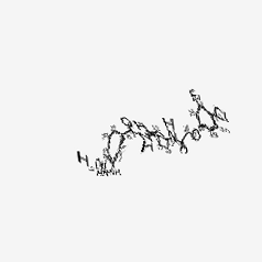 CN1NNc2cc(C(=O)N[C@@H]3CC4(NC(=O)COc5ccc(Cl)c(F)c5)CC3C4)ccc21